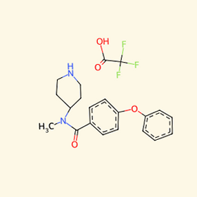 CN(C(=O)c1ccc(Oc2ccccc2)cc1)C1CCNCC1.O=C(O)C(F)(F)F